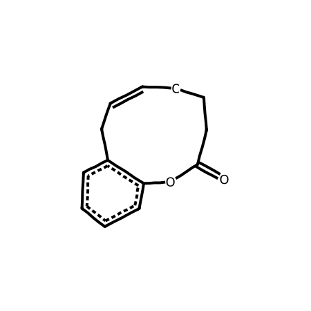 O=C1CCCC=CCc2ccccc2O1